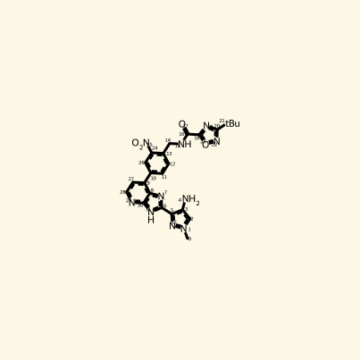 Cn1cc(N)c(-c2nc3c(-c4ccc(CNC(=O)c5nc(C(C)(C)C)no5)c([N+](=O)[O-])c4)ccnc3[nH]2)n1